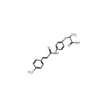 Cc1ccc(C=CC(=O)Nc2ccc(OC(C)C(=O)O)cc2)cc1